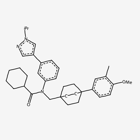 COc1ccc(C23CCC(CN(C(=O)C4CCCCC4)c4cccc(-c5cnn(C(C)C)c5)c4)(CC2)CC3)cc1C